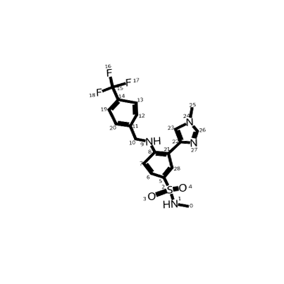 CNS(=O)(=O)c1ccc(NCc2ccc(C(F)(F)F)cc2)c(-c2cn(C)cn2)c1